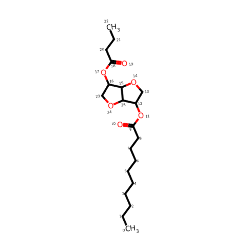 CCCCCCCCCC(=O)OC1COC2C(OC(=O)CCC)COC12